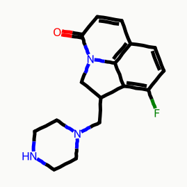 O=c1ccc2ccc(F)c3c2n1CC3CN1CCNCC1